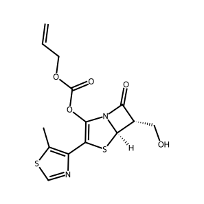 C=CCOC(=O)OC1=C(c2ncsc2C)S[C@@H]2[C@@H](CO)C(=O)N12